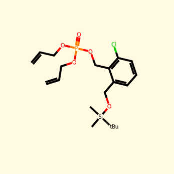 C=CCOP(=O)(OCC=C)OCc1c(Cl)cccc1CO[Si](C)(C)C(C)(C)C